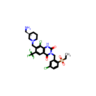 CCS(=O)(=O)c1ccc(Cl)cc1Cn1c(=O)[nH]c2c(Cl)c(CN3CCC[C@H](CN)C3)c(C(F)(F)F)cc2c1=O